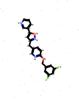 Fc1cc(F)cc(COc2ccc(Cc3cc(-c4cccnc4)on3)cn2)c1